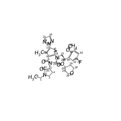 CCN1CC[C@H](n2c(=O)c3c(C)c(-n4nccn4)sc3n(C[C@H](OC3CCOCC3)c3cc(F)ccc3OC)c2=O)C1=O